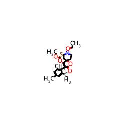 CCON1CCC2(CC1)OC(=O)C(c1c(C)cc(C)cc1C)=C2OC(=S)OC